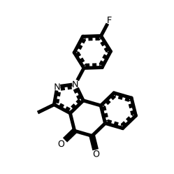 Cc1nn(-c2ccc(F)cc2)c2c1C(=O)C(=O)c1ccccc1-2